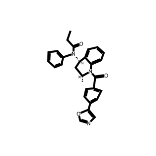 CCC(=O)N(c1ccccc1)[C@H]1C[C@@H](C)N(C(=O)c2ccc(-c3cnco3)cc2)c2ccccc21